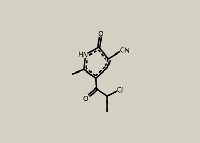 Cc1[nH]c(=O)c(C#N)cc1C(=O)C(C)Cl